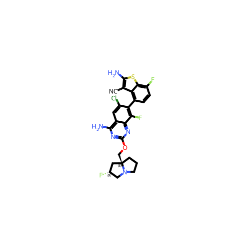 N#Cc1c(N)sc2c(F)ccc(-c3c(Cl)cc4c(N)nc(OC[C@@]56CCCN5C[C@H](F)C6)nc4c3F)c12